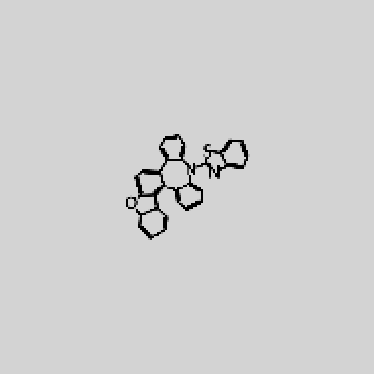 C1=CC2Oc3ccc4c(c3C2C=C1)-c1ccccc1N(c1nc2ccccc2s1)c1ccccc1-4